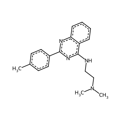 Cc1ccc(-c2nc(NCCN(C)C)c3ccccc3n2)cc1